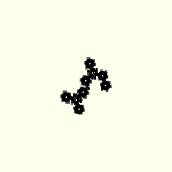 c1ccc(-c2cccc(-c3nc(-c4ccccc4)nc(-c4cccc(Sc5ccc(-c6nc(-c7ccccc7)nc(-c7ccccc7)n6)cc5)c4)n3)c2)cc1